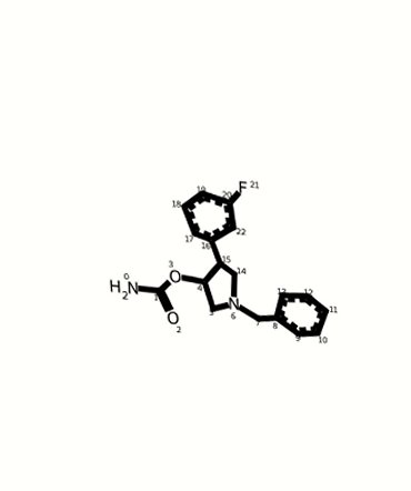 NC(=O)OC1CN(Cc2ccccc2)CC1c1cccc(F)c1